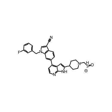 N#Cc1cn(Cc2cccc(F)c2)c2cc(-c3ccnc4[nH]c(C5CCN(C[SH](=O)=O)CC5)cc34)ccc12